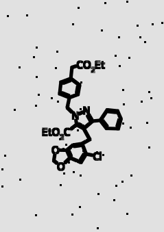 CCOC(=O)Cc1ccc(Cn2nc(-c3ccccc3)c(Cc3cc4c(cc3Cl)OCO4)c2C(=O)OCC)cc1